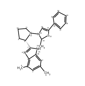 Cc1cc(C)c2nc([C@@H]3CCCN3N3[C]=C(c4ccccc4)SC3C)[nH]c2c1